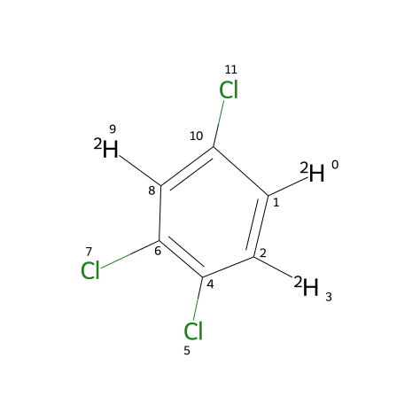 [2H]c1c([2H])c(Cl)c(Cl)c([2H])c1Cl